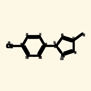 [C-]#[N+]c1ccc(-n2cc(C)cn2)cc1